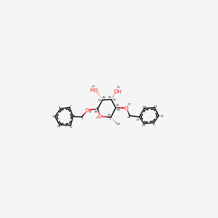 C[C@@H]1O[C@@H](OCc2ccccc2)[C@H](O)[C@H](O)[C@H]1OCc1ccccc1